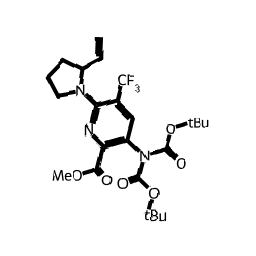 C=CC1CCCN1c1nc(C(=O)OC)c(N(C(=O)OC(C)(C)C)C(=O)OC(C)(C)C)cc1C(F)(F)F